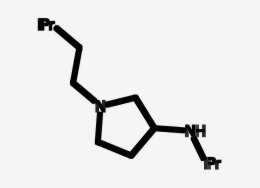 CC(C)CCN1CCC(NC(C)C)C1